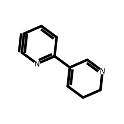 c1ccc(C2=CCCN=C2)nc#1